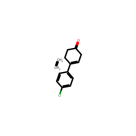 C=C.O=C1CC=C(c2ccc(Cl)cc2)CC1